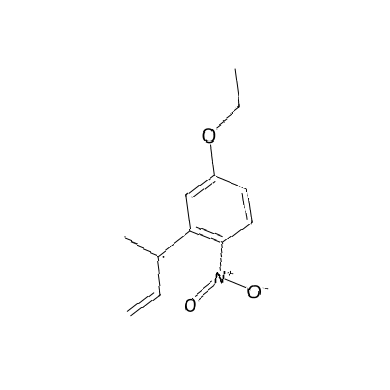 C=C[C](C)c1cc(OCC)ccc1[N+](=O)[O-]